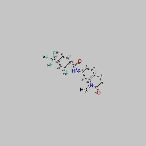 CN1C(=O)CCc2ccc(NC(=O)c3ccc(C(F)(F)F)cc3F)cc21